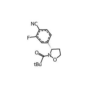 CC(C)(C)C(=O)N1OCC[C@H]1c1ccc(C#N)c(F)c1